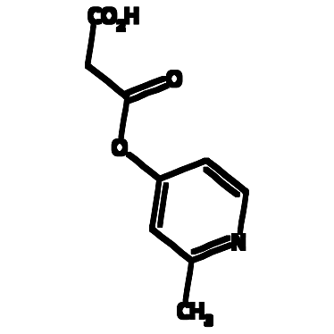 Cc1cc(OC(=O)CC(=O)O)ccn1